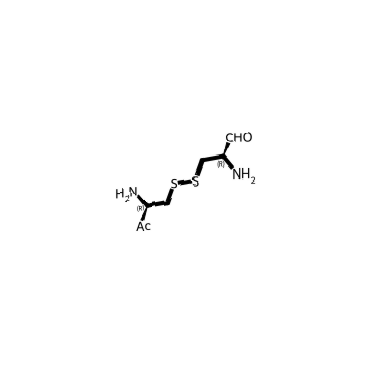 CC(=O)[C@@H](N)CSSC[C@H](N)C=O